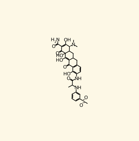 CC(Nc1cccc(S(C)(=O)=O)c1)C(=O)Nc1ccc2c(c1O)C(=O)C1=C(O)C3(O)C(=O)C(C(N)=O)=C(O)[C@@H](N(C)C)C3CC1C2